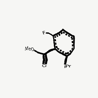 COC(=O)c1c(F)cccc1C(C)C